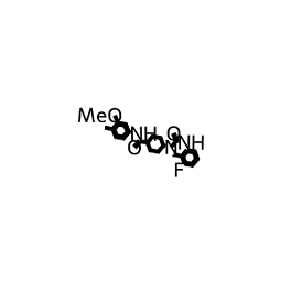 COc1cc(NC(=O)C2CCC(N3Cc4c(F)cccc4NC3=O)CC2)ccc1C